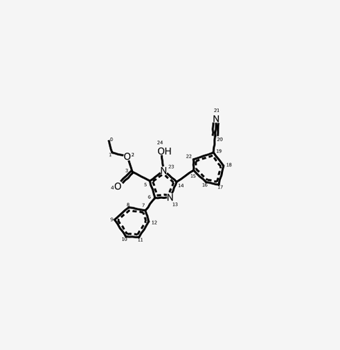 CCOC(=O)c1c(-c2ccccc2)nc(-c2cccc(C#N)c2)n1O